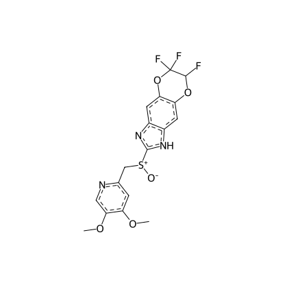 COc1cnc(C[S+]([O-])c2nc3cc4c(cc3[nH]2)OC(F)C(F)(F)O4)cc1OC